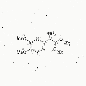 CCOC(OCC)[C@@H](N)c1ccc(OC)c(OC)c1